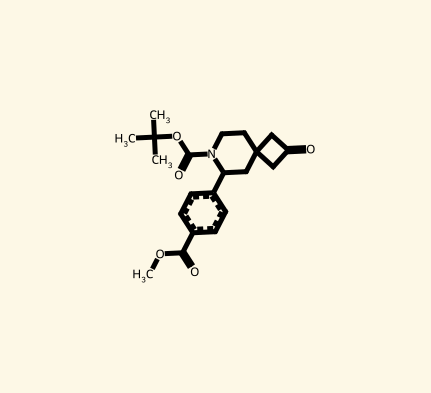 COC(=O)c1ccc(C2CC3(CCN2C(=O)OC(C)(C)C)CC(=O)C3)cc1